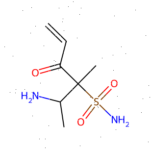 C=CC(=O)C(C)(C(C)N)S(N)(=O)=O